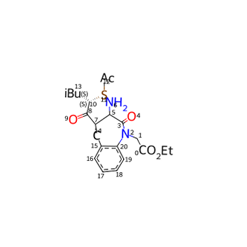 CCOC(=O)CN1C(=O)C(N)C(C(=O)[C@@H](SC(C)=O)[C@@H](C)CC)Cc2ccccc21